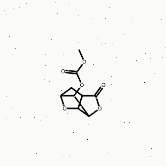 COC(=O)OC1C2CC3C(=O)OC1C3O2